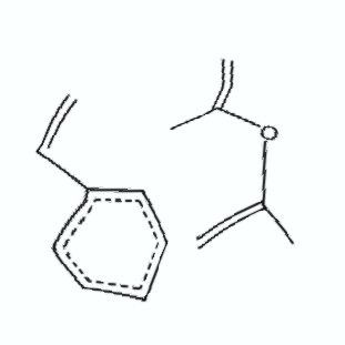 C=C(C)OC(=C)C.C=Cc1ccccc1